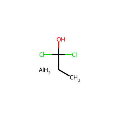 CCC(O)(Cl)Cl.[AlH3]